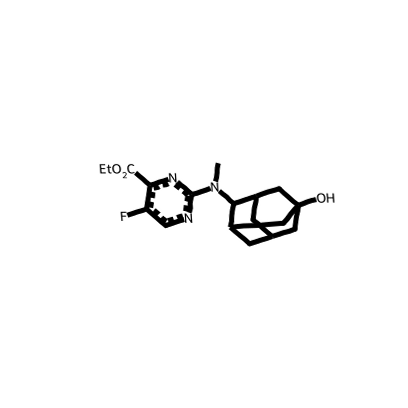 CCOC(=O)c1nc(N(C)C2C3CC4CC2CC(O)(C4)C3)ncc1F